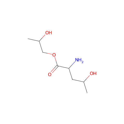 CC(O)COC(=O)C(N)CC(C)O